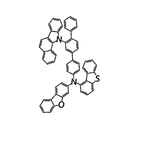 c1ccc(-c2ccc(-c3ccc(N(c4ccc5c(c4)oc4ccccc45)c4cccc5sc6ccccc6c45)cc3)cc2-n2c3ccccc3c3ccc4ccccc4c32)cc1